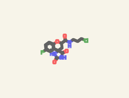 O=C1NC(=O)C2(CC(C(=O)NCCCCl)Oc3ccc(F)cc32)N1